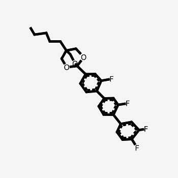 CCCCCC12COC(c3ccc(-c4ccc(-c5ccc(F)c(F)c5)c(F)c4)c(F)c3)(OC1)OC2